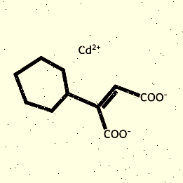 O=C([O-])C=C(C(=O)[O-])C1CCCCC1.[Cd+2]